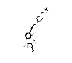 CNC(=O)C(CCC=O)N(C=O)c1cccc(C#CCOC2CCN(C(=O)OC(C)(C)C)CC2)c1N(C)C